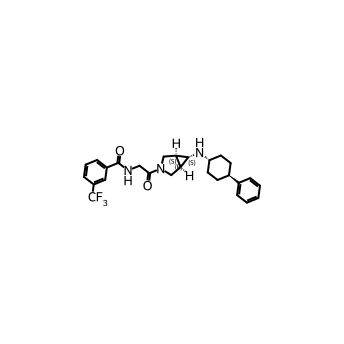 O=C(NCC(=O)N1C[C@@H]2[C@H](C1)[C@H]2N[C@H]1CC[C@H](c2ccccc2)CC1)c1cccc(C(F)(F)F)c1